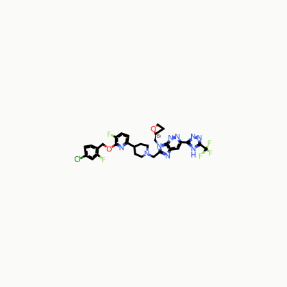 Fc1cc(Cl)ccc1COc1nc(C2CCN(Cc3nc4cc(-c5nnc(C(F)(F)F)[nH]5)nnc4n3C[C@@H]3CCO3)CC2)ccc1F